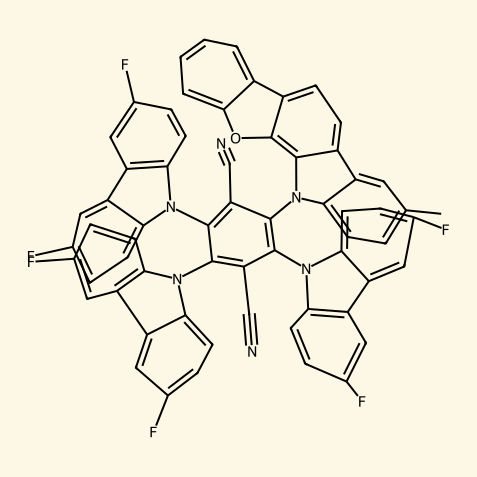 Cc1ccc2c(c1)c1ccc3c4ccccc4oc3c1n2-c1c(C#N)c(-n2c3ccc(F)cc3c3cc(F)ccc32)c(-n2c3ccc(F)cc3c3cc(F)ccc32)c(C#N)c1-n1c2ccc(F)cc2c2cc(F)ccc21